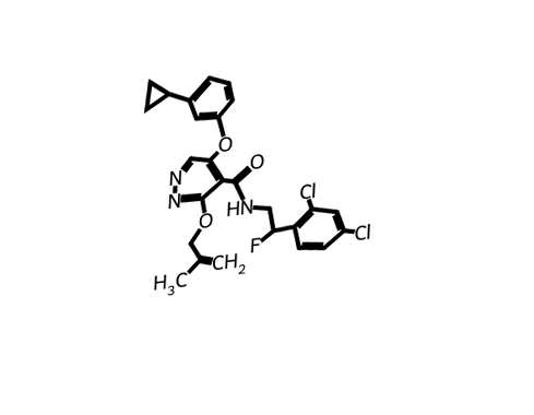 C=C(C)COc1nncc(Oc2cccc(C3CC3)c2)c1C(=O)NCC(F)c1ccc(Cl)cc1Cl